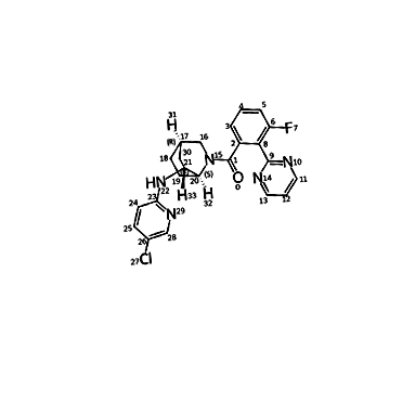 O=C(c1cccc(F)c1-c1ncccn1)N1C[C@@H]2CC[C@H]1[C@H](Nc1ccc(Cl)cn1)C2